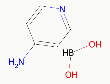 Nc1ccncc1.OBO